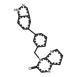 O=c1cnc2cccnc2n1Cc1cccc(-c2ccc3[nH]ncc3c2)c1